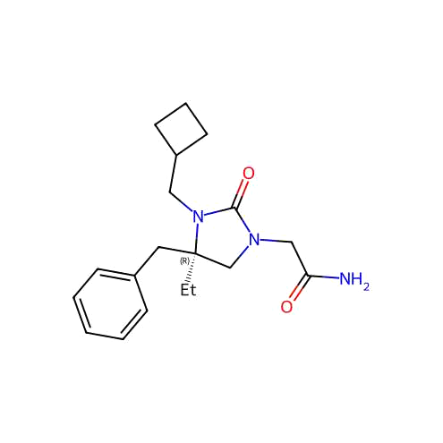 CC[C@@]1(Cc2ccccc2)CN(CC(N)=O)C(=O)N1CC1CCC1